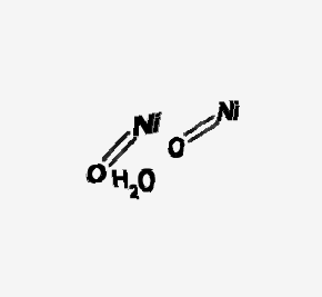 O.[O]=[Ni].[O]=[Ni]